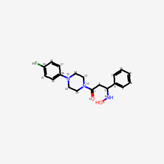 O=C(CC(NO)c1ccccc1)N1CCN(c2ccc(F)cc2)CC1